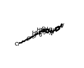 CN(C)c1ccc(-c2cnc(C3=CCC(S(=O)(=O)NCCC(=O)NCCOCCOCCCCCCCl)C=C3)[nH]2)cc1